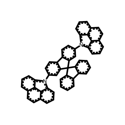 c1ccc2c(c1)-c1ccccc1C21c2cc(-n3c4cccc5ccc6cccc3c6c54)ccc2-c2ccc(-n3c4cccc5ccc6cccc3c6c54)cc21